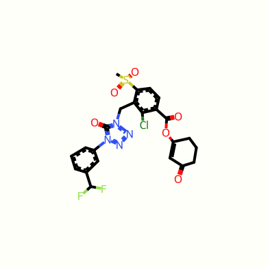 CS(=O)(=O)c1ccc(C(=O)OC2=CC(=O)CCC2)c(Cl)c1Cn1nnn(-c2cccc(C(F)F)c2)c1=O